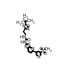 CC(C)(C)c1nc(CCNC(=O)Nc2nc3ccc(-c4cncc(S(C)(=O)=O)c4)nc3s2)no1